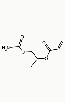 C=CC(=O)OC(C)COC(N)=O